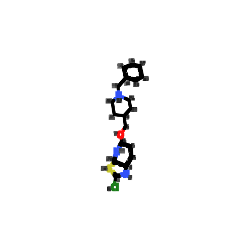 Clc1nc2ccc(OCC3CCN(Cc4ccccc4)CC3)nc2s1